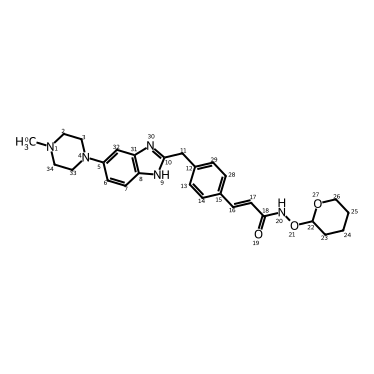 CN1CCN(c2ccc3[nH]c(Cc4ccc(/C=C/C(=O)NOC5CCCCO5)cc4)nc3c2)CC1